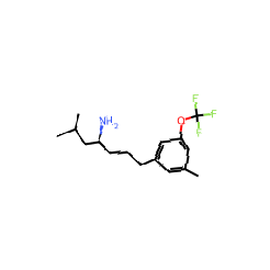 Cc1cc(CCC[C@H](N)CC(C)C)cc(OC(F)(F)F)c1